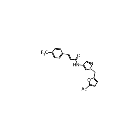 CC(=O)c1ccc(Cn2cc(NC(=O)C=Cc3ccc(C(F)(F)F)cc3)cn2)o1